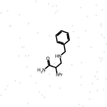 CCCC(CNCc1ccccc1)C(N)=O